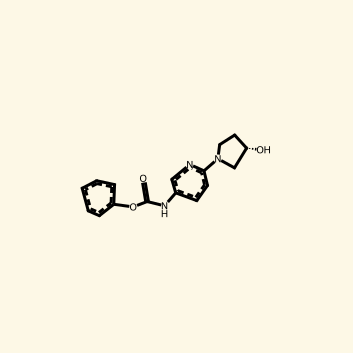 O=C(Nc1ccc(N2CC[C@H](O)C2)nc1)Oc1ccccc1